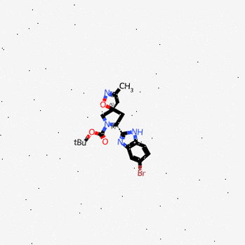 CC1=NO[C@]2(C1)C[C@H](c1nc3cc(Br)ccc3[nH]1)N(C(=O)OC(C)(C)C)C2